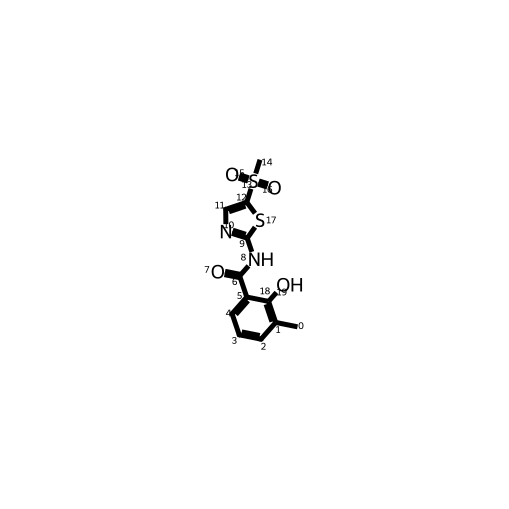 Cc1cccc(C(=O)Nc2ncc(S(C)(=O)=O)s2)c1O